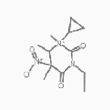 CCN1C(=O)C(C)([N+](=O)[O-])C(C)[N+](C)(C2CC2)C1=O